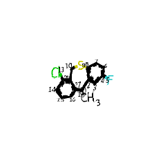 C[C@H]1c2cc(F)ccc2SCc2c(Cl)cccc21